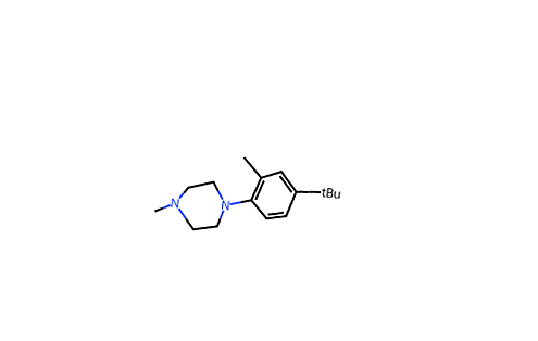 Cc1cc(C(C)(C)C)ccc1N1CCN(C)CC1